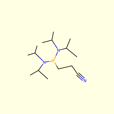 CC(C)N(C(C)C)P(CCC#N)N(C(C)C)C(C)C